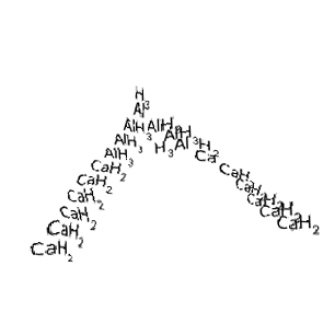 [AlH3].[AlH3].[AlH3].[AlH3].[AlH3].[AlH3].[AlH3].[CaH2].[CaH2].[CaH2].[CaH2].[CaH2].[CaH2].[CaH2].[CaH2].[CaH2].[CaH2].[CaH2].[CaH2]